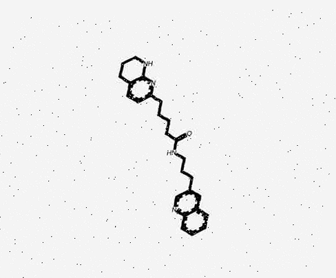 O=C(CCCCc1ccc2c(n1)NCCC2)NCCCc1cnc2ccccc2c1